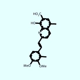 COc1ccc(/C=C/c2ccc3c(C)cc(C(=O)O)c(O)c3n2)c(C)c1OC